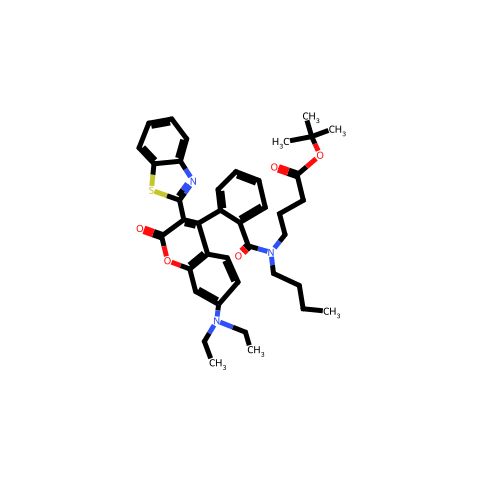 CCCCN(CCCC(=O)OC(C)(C)C)C(=O)c1ccccc1-c1c(-c2nc3ccccc3s2)c(=O)oc2cc(N(CC)CC)ccc12